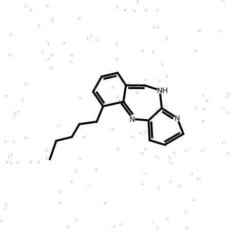 CCCCCc1cccc2c1=Nc1cccnc1NC=2